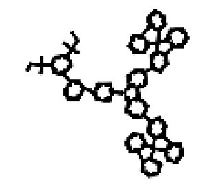 CCC(C)(C)c1cc(-c2cccc(-c3ccc(-n4c5ccc(-c6ccc7c(c6)C6(c8ccccc8-c8ccccc86)c6ccccc6-7)cc5c5cc(-c6ccc7c(c6)C6(c8ccccc8-c8ccccc86)c6ccccc6-7)ccc54)cc3)c2)cc(C(C)(C)CC)c1